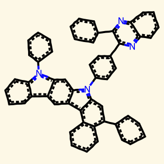 c1ccc(-c2nc3ccccc3nc2-c2ccc(-n3c4cc5c(cc4c4c6ccccc6c(-c6ccccc6)cc43)c3ccccc3n5-c3ccccc3)cc2)cc1